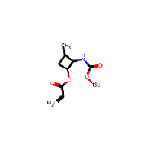 C=CC(=O)OC1CC(C)C1NC(=O)OC(C)(C)C